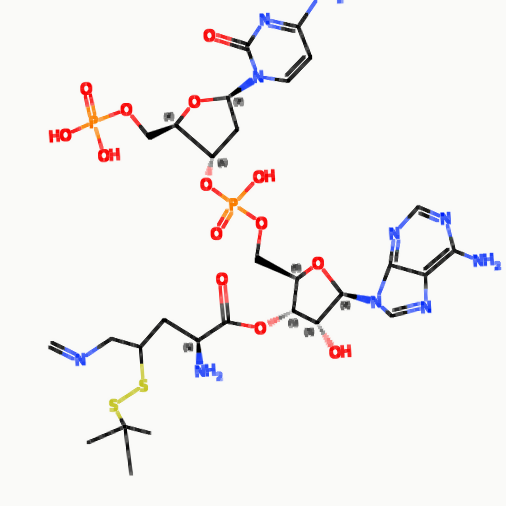 C=NCC(C[C@H](N)C(=O)O[C@H]1[C@@H](O)[C@H](n2cnc3c(N)ncnc32)O[C@@H]1COP(=O)(O)O[C@H]1C[C@H](n2ccc(N)nc2=O)O[C@@H]1COP(=O)(O)O)SSC(C)(C)C